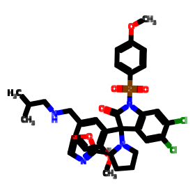 COc1ccc(S(=O)(=O)N2C(=O)C(c3cc(CNCC(C)C)ccc3OC)(N3CCC[C@H]3c3ncco3)c3cc(Cl)c(Cl)cc32)cc1